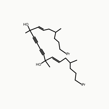 CC(C)CCCC(C)C/C=C/C(C)(O)C#CC#CC(C)(O)/C=C/CC(C)CCCC(C)C